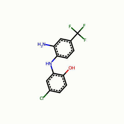 Nc1cc(C(F)(F)F)ccc1Nc1cc(Cl)ccc1O